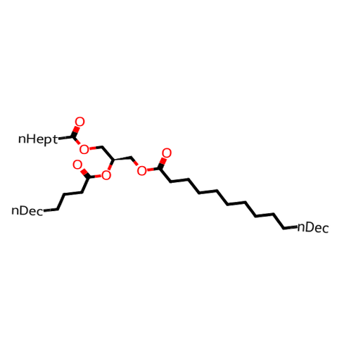 CCCCCCCCCCCCCCCCCCCC(=O)OC[C@H](COC(=O)CCCCCCC)OC(=O)CCCCCCCCCCCCC